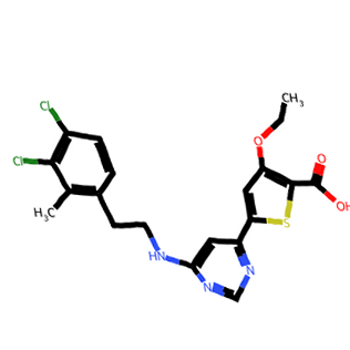 CCOc1cc(-c2cc(NCCc3ccc(Cl)c(Cl)c3C)ncn2)sc1C(=O)O